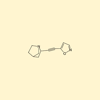 C(#CC1CC2CCN1C2)c1ccno1